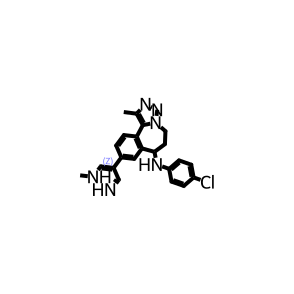 CN/C=C(\C=N)c1ccc2c(c1)C(Nc1ccc(Cl)cc1)CCn1nnc(C)c1-2